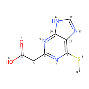 CSc1nc(CC(=O)O)nc2[nH]cnc12